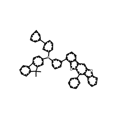 CC1(C)c2ccccc2-c2ccc(N(c3cccc(-c4ccccc4)c3)c3cccc(-c4cccc5c4oc4c(-c6ccccc6)c6c(cc45)oc4ccccc46)c3)cc21